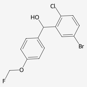 OC(c1ccc(OCF)cc1)c1cc(Br)ccc1Cl